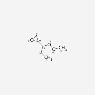 CCC(OOC)C1CO1